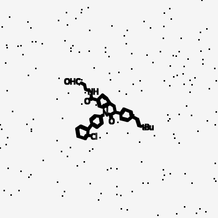 CC(C)(C)/C=C/c1ccc(C(Cc2ccc(C(=O)NCCC=O)cc2)C(=O)Nc2ccc(-c3ccccc3Cl)cc2)cc1